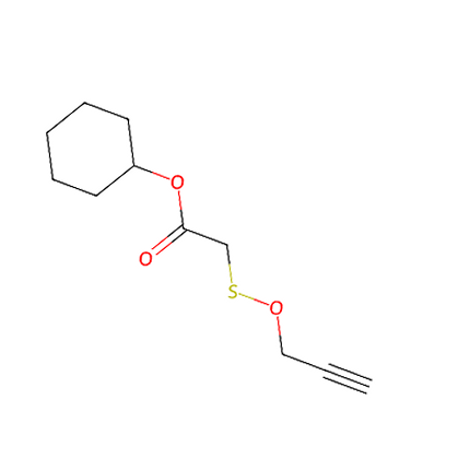 C#CCOSCC(=O)OC1CCCCC1